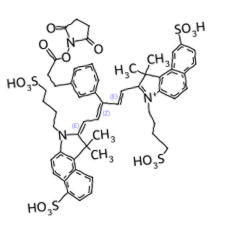 CC1(C)C(/C=C/C(=C/C=C2/N(CCCCS(=O)(=O)O)c3ccc4c(S(=O)(=O)O)cccc4c3C2(C)C)c2cccc(CCC(=O)ON3C(=O)CCC3=O)c2)=[N+](CCCCS(=O)(=O)O)c2ccc3ccc(S(=O)(=O)O)cc3c21